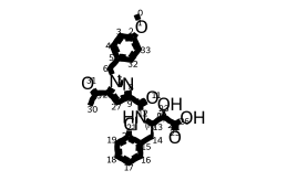 COc1ccc(Cn2nc(C(=O)N[C@H](Cc3ccccc3Cl)[C@@H](O)C(=O)O)cc2C(C)=O)cc1